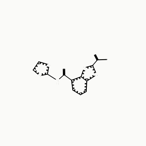 O=C(O)c1nc2c(C(=O)Nc3ncc[nH]3)cccc2[nH]1